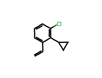 C=Cc1cccc(Cl)c1C1CC1